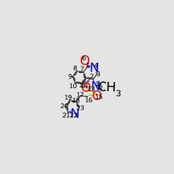 CN(C1C=NC(=O)c2ccccc21)S(=O)(=O)CCc1cccnc1